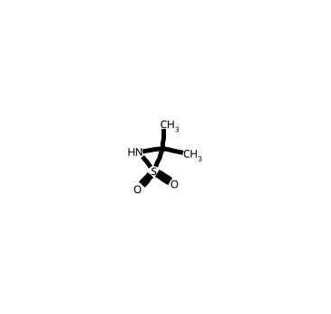 CC1(C)NS1(=O)=O